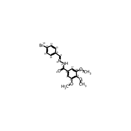 COc1cc(C(=O)N/N=C/c2ccc(Br)cc2)cc(OC)c1OC